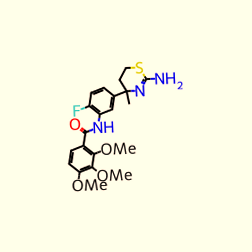 COc1ccc(C(=O)Nc2cc(C3(C)CCSC(N)=N3)ccc2F)c(OC)c1OC